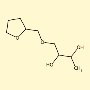 CC(O)C(O)COCC1CCCO1